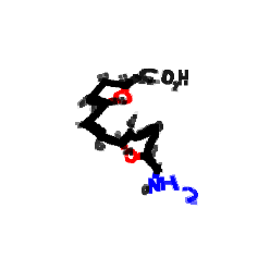 NCC1CCC(/C=C\C2CCC(C(=O)O)O2)O1